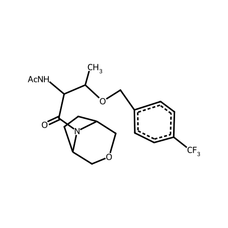 CC(=O)NC(C(=O)N1C2CCC1COC2)C(C)OCc1ccc(C(F)(F)F)cc1